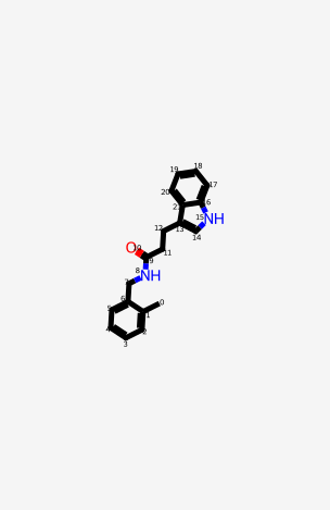 Cc1ccccc1CNC(=O)CCc1c[nH]c2ccccc12